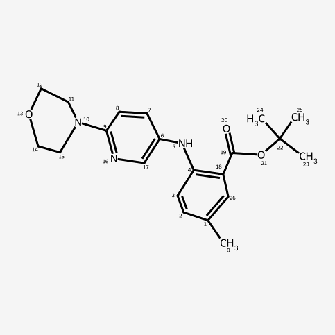 Cc1ccc(Nc2ccc(N3CCOCC3)nc2)c(C(=O)OC(C)(C)C)c1